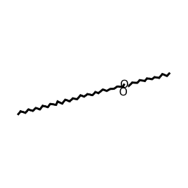 CCCCCCCCCCCCCCCCCCCCCCCCCCCCC(=O)OCCCCCCCCCCCC